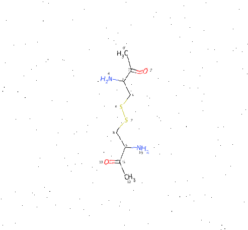 CC(=O)C(N)CSSCC(N)C(C)=O